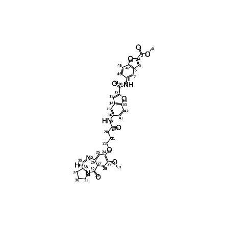 COC(=O)c1cc2cc(NC(=O)c3cc4cc(NC(=O)CCCOc5cc6c(cc5OC)C(=O)N5CCC[C@H]5C=N6)ccc4o3)ccc2o1